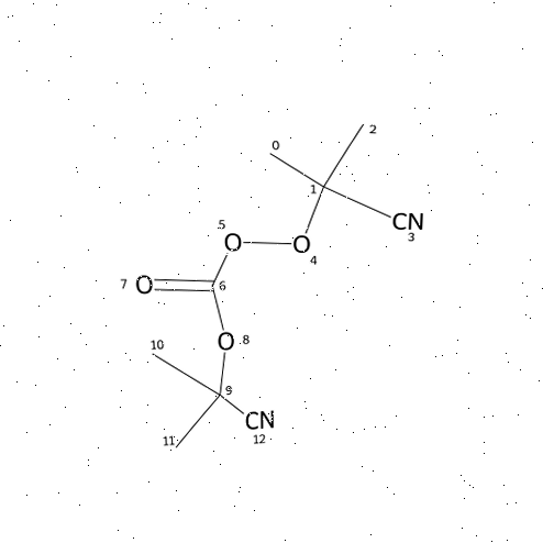 CC(C)(C#N)OOC(=O)OC(C)(C)C#N